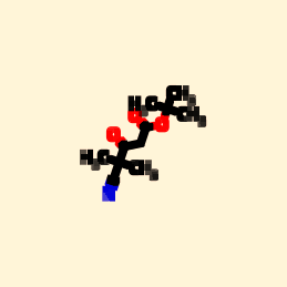 CC(C)(C)OC(=O)CC(=O)C(C)(C)C#N